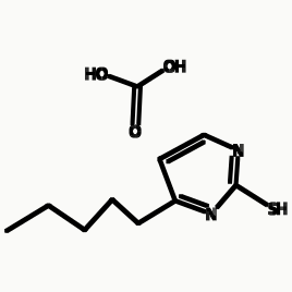 CCCCCc1ccnc(S)n1.O=C(O)O